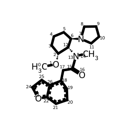 CO[C@@H]1CCC[C@@H](N2CCCC2)[C@@H]1N(C)C(=O)Cc1cccc2occc12